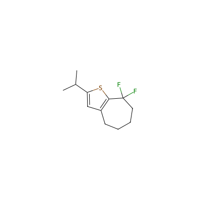 CC(C)c1cc2c(s1)C(F)(F)CCCC2